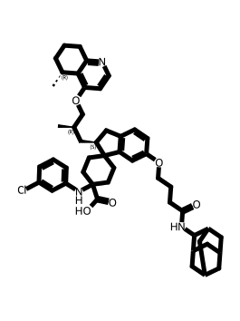 C[C@@H](COc1ccnc2c1[C@H](C)CCC2)C[C@H]1Cc2ccc(OCCCC(=O)NC3C4CC5CC(C4)CC3C5)cc2C12CCC(Nc1cccc(Cl)c1)(C(=O)O)CC2